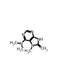 C=C1Nc2ncnc(N(C)C)c2N1C